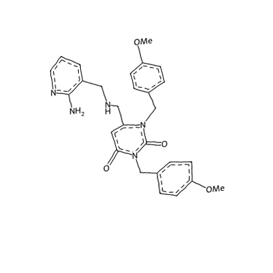 COc1ccc(Cn2c(CNCc3cccnc3N)cc(=O)n(Cc3ccc(OC)cc3)c2=O)cc1